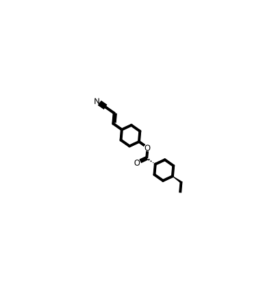 CC[C@H]1CC[C@H](C(=O)OC2CCC(/C=C/C#N)CC2)CC1